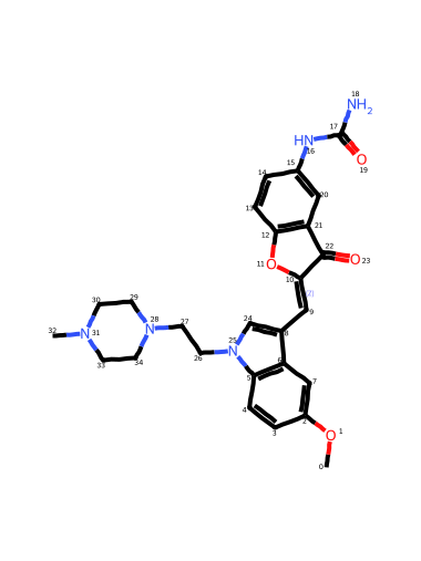 COc1ccc2c(c1)c(/C=C1\Oc3ccc(NC(N)=O)cc3C1=O)cn2CCN1CCN(C)CC1